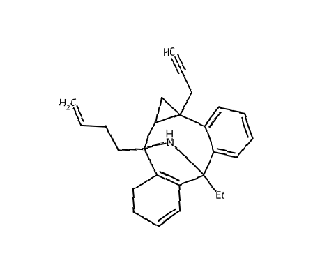 C#CCC12CC1C1(CCC=C)NC(CC)(C3=C1CCC=C3)c1ccccc12